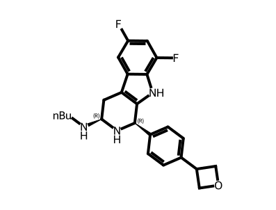 CCCCN[C@H]1Cc2c([nH]c3c(F)cc(F)cc23)[C@@H](c2ccc(C3COC3)cc2)N1